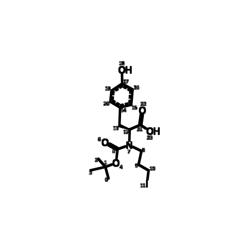 CC(C)(C)OC(=O)N(CCCI)[C@@H](Cc1ccc(O)cc1)C(=O)O